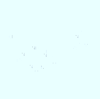 CC(C)(C)N(Cc1ccc(C(=O)Nc2nonc2/C(=N\O)Nc2cccc(Cl)c2)cc1)C(=O)O